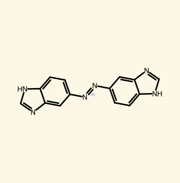 c1nc2cc(/N=N/c3ccc4[nH]cnc4c3)ccc2[nH]1